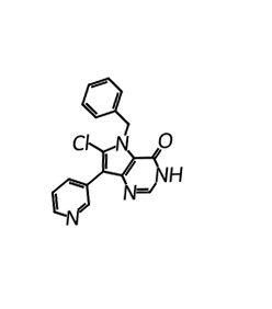 O=c1[nH]cnc2c(-c3cccnc3)c(Cl)n(Cc3ccccc3)c12